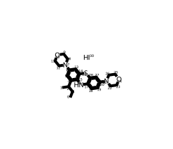 CCC(C)c1cc(N2CCOCC2)cc2c1Nc1ccc(N3CCOCC3)cc1S2.I